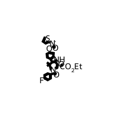 CCOC(=O)OC1=CN(C(=O)c2ccc(F)cc2)CC(C)(C)c2c1[nH]c1cc(OC(=O)N(C)c3cccs3)ccc21